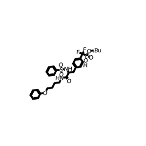 CCC(C)OP(=O)(O)C(F)(F)c1ccc(CC(NS(=O)(=O)c2ccccc2)C(=O)NCCCCOc2ccccc2)cc1